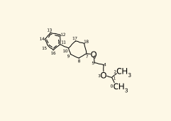 CC(C)OCCOC1CCC(c2ccccc2)CC1